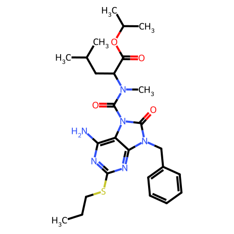 CCCSc1nc(N)c2c(n1)n(Cc1ccccc1)c(=O)n2C(=O)N(C)C(CC(C)C)C(=O)OC(C)C